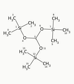 C[Si](C)(C)O[C](O[Si](C)(C)C)O[Si](C)(C)C